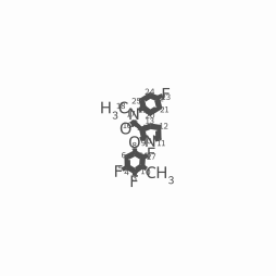 Cc1c(F)c(F)cc(Oc2ncccc2C(=O)N(C)c2ccc(F)cc2)c1F